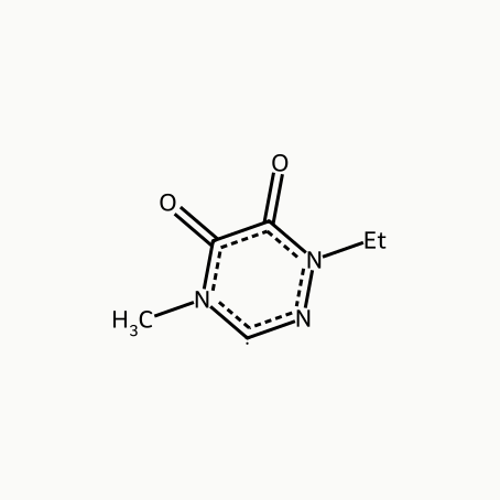 CCn1n[c]n(C)c(=O)c1=O